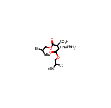 CCCCC(CC)COC(=O)CC(C(=O)OCC(CC)CCCC)S(=O)(=O)O.[NaH].[PbH2]